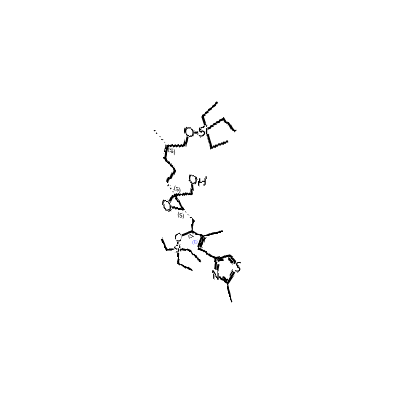 CC[Si](CC)(CC)OC[C@@H](C)CCC[C@@]1(CO)O[C@H]1C[C@H](O[Si](CC)(CC)CC)/C(C)=C/c1csc(C)n1